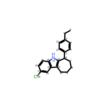 CCc1ccc(C2CCCCc3c2[nH]c2ccc(Cl)cc32)cc1